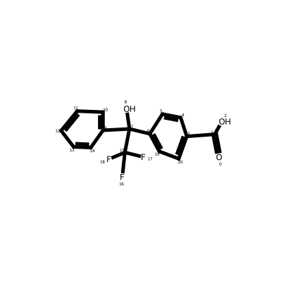 O=C(O)c1ccc(C(O)(c2ccccc2)C(F)(F)F)cc1